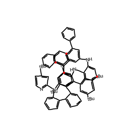 CC(C)(C)c1cc(-c2cc(C(C)(C)C)cc(-c3ccccc3)c2Nc2ccccc2Nc2cc(-c3ccccc3)cc(N(c3ccccc3)c3ccc4c(c3)N(c3cc(C(C)(C)C)ccn3)c3ccccc3-c3ccccc3-4)c2)cc(C(C)(C)C)c1